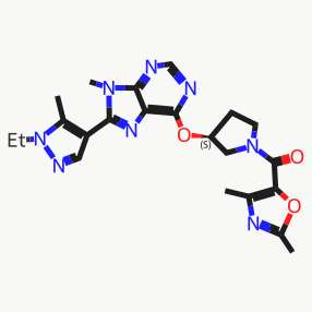 CCn1ncc(-c2nc3c(O[C@H]4CCN(C(=O)c5oc(C)nc5C)C4)ncnc3n2C)c1C